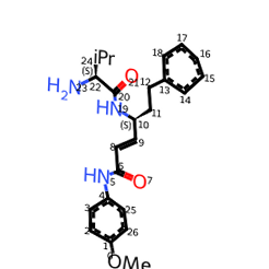 COc1ccc(NC(=O)C=C[C@H](CCc2ccccc2)NC(=O)[C@@H](N)C(C)C)cc1